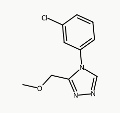 COCc1nncn1-c1cccc(Cl)c1